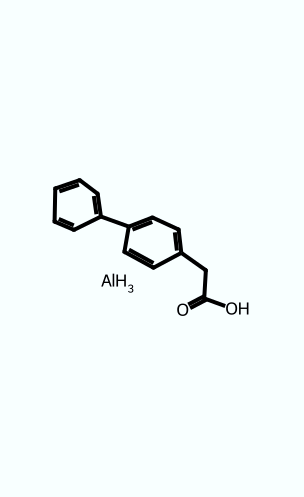 O=C(O)Cc1ccc(-c2ccccc2)cc1.[AlH3]